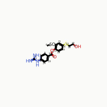 CS(=O)(=O)O.N=C(N)Nc1ccc(C(=O)Oc2ccc(SCCO)cc2)cc1